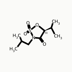 CC(C)CN1C(=O)[C@H](C(C)C)OS1(=O)=O